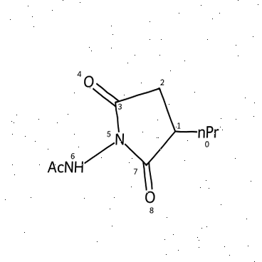 CCCC1CC(=O)N(NC(C)=O)C1=O